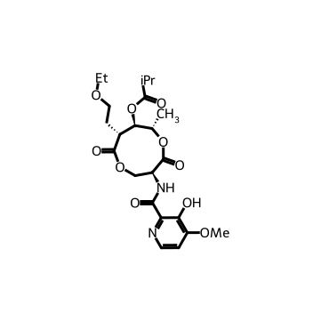 CCOCC[C@H]1C(=O)OC[C@H](NC(=O)c2nccc(OC)c2O)C(=O)O[C@@H](C)[C@@H]1OC(=O)C(C)C